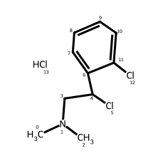 CN(C)CC(Cl)c1ccccc1Cl.Cl